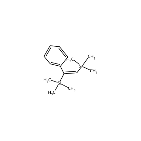 C[Si](C)(C)/C=C(\c1ccccc1)[Si](C)(C)C